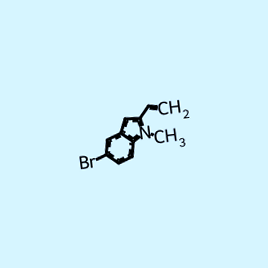 C=Cc1cc2cc(Br)ccc2n1C